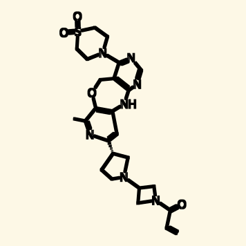 C=CC(=O)N1CC(N2CC[C@H](c3cc4c(c(C)n3)OCc3c(ncnc3N3CCS(=O)(=O)CC3)N4)C2)C1